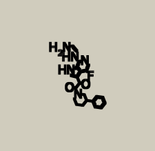 N/C=C\Nc1ncc(F)c2c(C(=O)C(=O)N3CCCC(c4ccccc4)C3)c[nH]c12